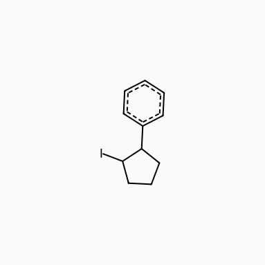 IC1CCCC1c1ccccc1